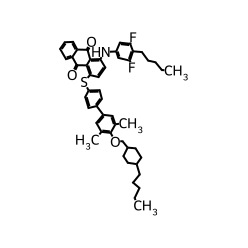 CCCCCc1c(F)cc(Nc2ccc(Sc3ccc(-c4cc(C)c(OCC5CCC(CCCCC)CC5)c(C)c4)cc3)c3c2C(=O)c2ccccc2C3=O)cc1F